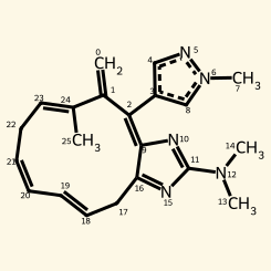 C=C1/C(c2cnn(C)c2)=C2/N=C(N(C)C)N=C2C/C=C/C=C\C/C=C/1C